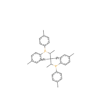 CCCC(C(C)C)(C(C)P(c1ccc(C)cc1)c1ccc(C)cc1)C(C)P(c1ccc(C)cc1)c1ccc(C)cc1